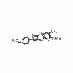 CNc1nc(Nc2cn(C3CCN(CC(F)(F)F)CC3)nc2C)ncc1C(F)(F)F